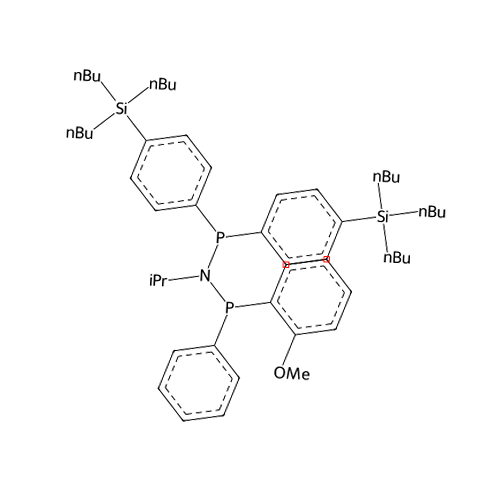 CCCC[Si](CCCC)(CCCC)c1ccc(P(c2ccc([Si](CCCC)(CCCC)CCCC)cc2)N(C(C)C)P(c2ccccc2)c2ccccc2OC)cc1